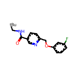 CC(C)(C)CNC(=O)c1ccc(COc2cccc(F)c2)nc1